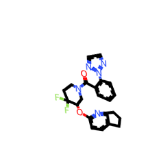 O=C(c1ccccc1-n1nccn1)N1CCC(F)(F)C(Oc2ccc3c(n2)CCC3)C1